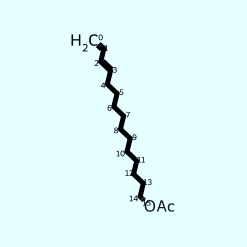 C=CC=CCCCCCCCCCCCOC(C)=O